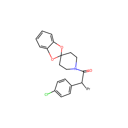 CC(C)C(C(=O)N1CCC2(CC1)Oc1ccccc1O2)c1ccc(Cl)cc1